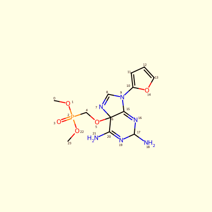 COP(=O)(COC12N=CN(c3ccco3)C1=NC(N)N=C2N)OC